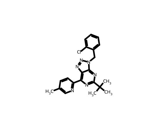 Cc1ccc(-c2nc(C(C)(C)C)nc3c2nnn3Cc2ccccc2Cl)nc1